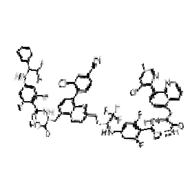 Cc1cnc(-c2ccc(C[C@H](NC(=O)c3c(F)cc(N[C@H](CCc4ccc5c(C[C@H](NC(=O)c6c(F)cc(NC(c7ccccc7)C(F)F)cc6F)C(=O)O)ccc(-c6ccc(C#N)cc6Cl)c5n4)C(F)(F)F)cc3F)C(=O)O)c3cccnc23)c(Cl)c1